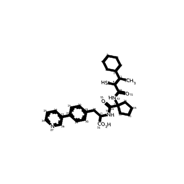 CC(C1CCCCC1)C(S)C(=O)NC1(C(=O)NC(Cc2ccc(-c3cccnc3)cc2)C(=O)O)CCCC1